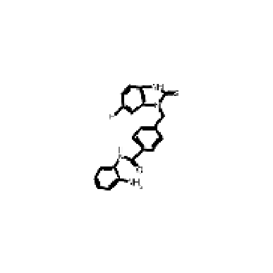 Nc1ccccc1NC(=O)c1ccc(Cn2c(=S)[nH]c3ccc(F)cc32)cc1